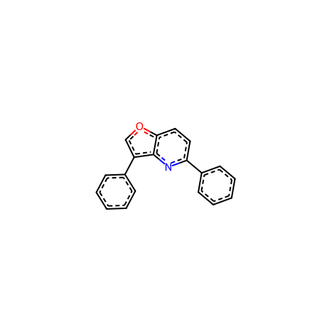 c1ccc(-c2ccc3occ(-c4ccccc4)c3n2)cc1